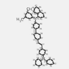 Cc1cc(C)cc(N(c2ccc(-c3ccc(/C=C/c4ccc(N(c5ccccc5)c5ccccc5)cc4)cc3)cc2)c2cccc3ccccc23)c1